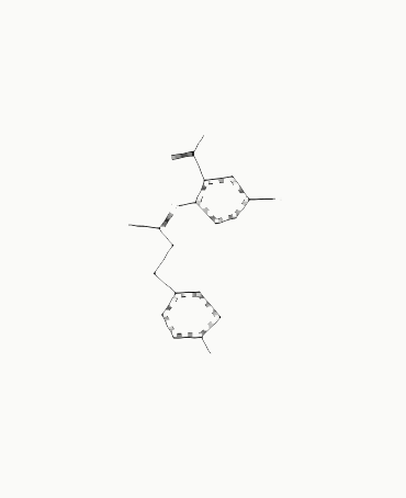 C=C(C)c1cc(Br)ccc1/N=C(/Cl)CCc1ccc(F)cc1